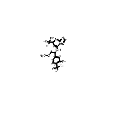 COCC(Nc1cc(C(F)(F)F)nc2ncnn12)c1ccc(C(F)(F)F)c(F)c1